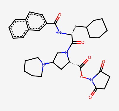 O=C(N[C@H](CC1CCCCC1)C(=O)N1C[C@H](N2CCCCC2)C[C@H]1C(=O)ON1C(=O)CCC1=O)c1ccc2ccccc2c1